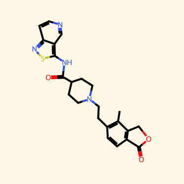 Cc1c(CCN2CCC(C(=O)Nc3snc4ccncc34)CC2)ccc2c1COC2=O